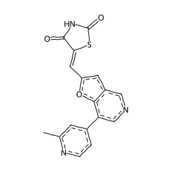 Cc1cc(-c2cncc3cc(/C=C4\SC(=O)NC4=O)oc23)ccn1